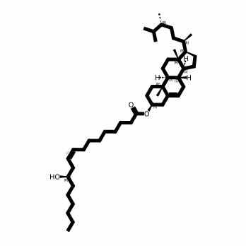 CCCCCC[C@@H](O)C/C=C\CCCCCCCC(=O)O[C@H]1CC[C@@]2(C)C(=CC[C@H]3[C@@H]4CC[C@H]([C@H](C)CC[C@@H](C)C(C)C)[C@@]4(C)CC[C@@H]32)C1